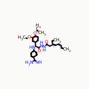 C=C/C=C\C=C(/C=C)CC(=O)NNC(=O)C(Nc1ccc(C(=N)N)cc1)c1ccc(OC(C)C)c(OCC)c1